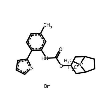 Cc1ccc(-c2cccs2)c(NC(=O)OC2CC3CCC(C2)[N+]3(C)C)c1.[Br-]